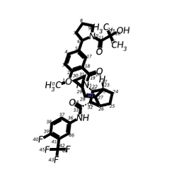 COc1ccc(C2CCCN2C(=O)C(C)(C)O)cc1C(=O)N[C@@H]1[C@@H]2CCC(/C2=C/C2CC2)[C@@H]1C(=O)Nc1ccc(F)c(C(F)(F)F)c1